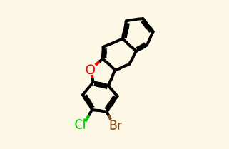 Clc1cc2c(cc1Br)C1Cc3ccccc3C=C1O2